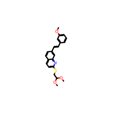 COc1cccc(C=Cc2ccc3ccc(SCC(OC)OC)nc3c2)c1